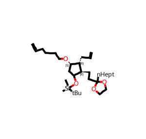 C=CCCCCO[C@H]1CC(O[Si](C)(C)C(C)(C)C)[C@H](CCC2(CCCCCCC)OCCO2)[C@H]1CC=C